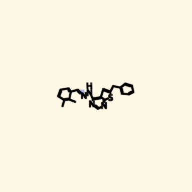 Cc1cccc(/C=N/Nc2ncnc3sc(Cc4ccccc4)cc23)c1C